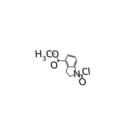 COC(=O)c1cccc2c1CCN2C(=O)Cl